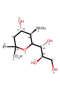 CC(=O)N[C@H]1C([C@H](O)[C@H](O)CO)OC(C(=O)O)(C(C)C)C[C@@H]1O